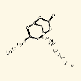 O.O.O.O.O.O.O.O.O.O.[K+].[K+].[O-]B1OB2OB([O-])OB(O1)O2